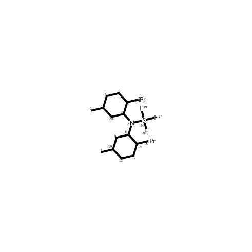 CC1CCC(C(C)C)C(N(C2CC(C)CCC2C(C)C)S(F)(F)F)C1